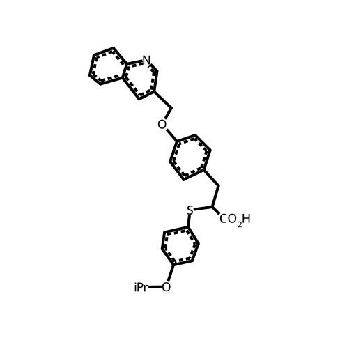 CC(C)Oc1ccc(SC(Cc2ccc(OCc3cnc4ccccc4c3)cc2)C(=O)O)cc1